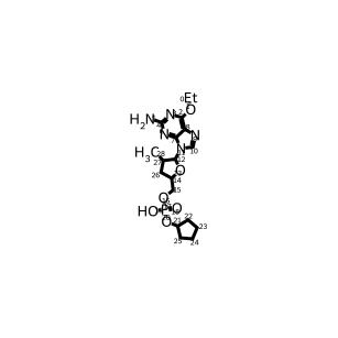 CCOc1nc(N)nc2c1ncn2C1OC(COP(=O)(O)OC2CCCC2)CC1C